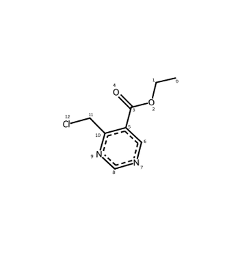 CCOC(=O)c1cncnc1CCl